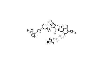 CS(=O)(=O)O.Cc1cc(C)c(CN2CCc3sc([C@H](C)[C@H]4CC[C@H](N5CC(n6nccc6C)C5)CC4)c(C)c3C2=O)c(=O)[nH]1